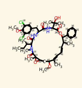 CCC(C)C1C(=O)NC(Cc2cc(Cl)c(OC)c(Cl)c2)C(=O)NC(C(C)(C)O)C(=O)OC(c2ccccc2)C(C)/C=C/C=C(\C)C(OC)CC2OC2(C)C(=O)N1C